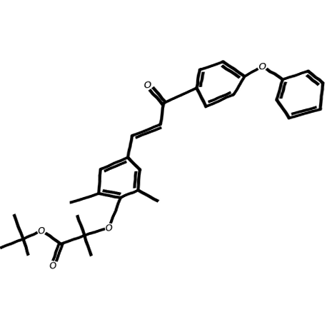 Cc1cc(/C=C/C(=O)c2ccc(Oc3ccccc3)cc2)cc(C)c1OC(C)(C)C(=O)OC(C)(C)C